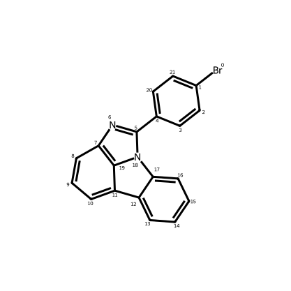 Brc1ccc(-c2nc3cccc4c5ccccc5n2c34)cc1